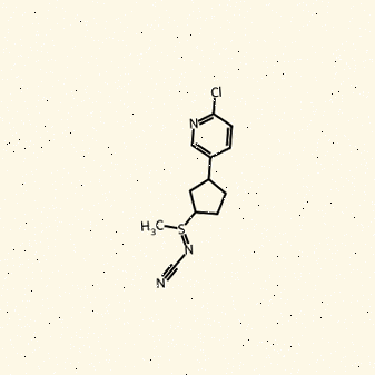 C/S(=N\C#N)C1CCC(c2ccc(Cl)nc2)C1